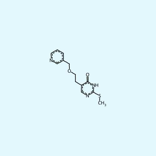 CSc1ncc(CCOCc2cccnc2)c(=O)[nH]1